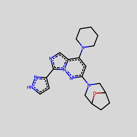 c1cc(-c2ncc3c(N4CCCCC4)cc(N4CC5CCC(C4)O5)nn23)n[nH]1